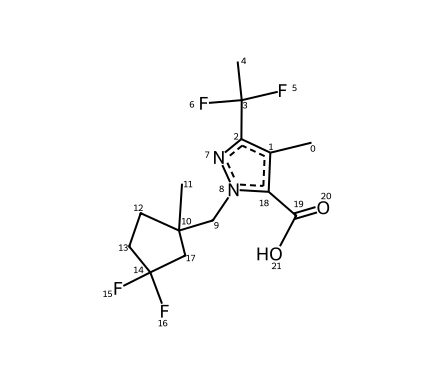 Cc1c(C(C)(F)F)nn(CC2(C)CCC(F)(F)C2)c1C(=O)O